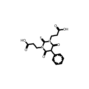 O=C(O)CCN1C(=O)C(c2ccccc2)C(=O)N(CCC(=O)O)C1=S